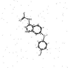 CC(=O)Nc1n[nH]c2cc(Oc3ccc(F)cc3)ccc12